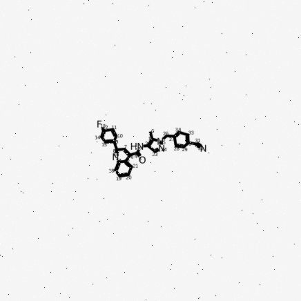 Cc1c(NC(=O)c2cc(-c3ccc(F)cc3)nc3ccccc23)cnn1Cc1ccc(C#N)cc1